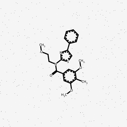 COCCN(C(=O)c1cc(OC)c(C)c(OC)c1)c1nc(-c2ccccc2)cs1